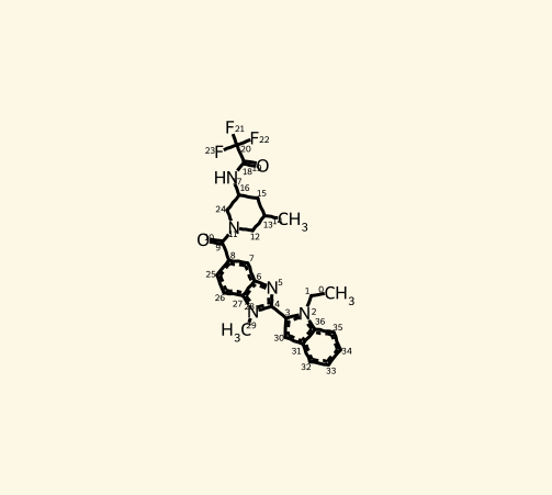 CCn1c(-c2nc3cc(C(=O)N4CC(C)CC(NC(=O)C(F)(F)F)C4)ccc3n2C)cc2ccccc21